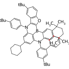 CC(C)(C)c1ccc(N2c3cc(C4CCCCC4)cc4c3B(c3cc5c(cc3N4c3ccc(C(C)(C)C)cc3-c3ccccc3)C(C)(C)CCC5(C)C)c3oc4ccc(C(C)(C)C)cc4c32)cc1